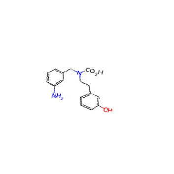 Nc1cccc(CN(CCc2cccc(O)c2)C(=O)O)c1